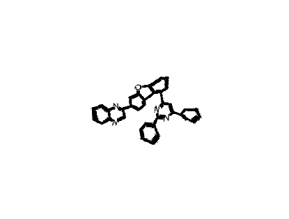 c1ccc(-c2cc(-c3cccc4oc5cc(-c6cnc7ccccc7n6)ccc5c34)nc(-c3ccccc3)n2)cc1